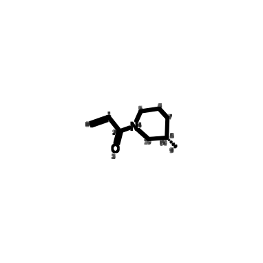 C=CC(=O)N1CCC[C@H](C)C1